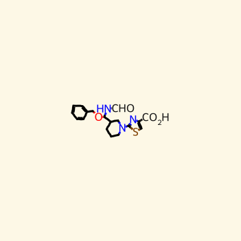 O=CNC(OCc1ccccc1)C1CCCN(c2nc(C(=O)O)cs2)C1